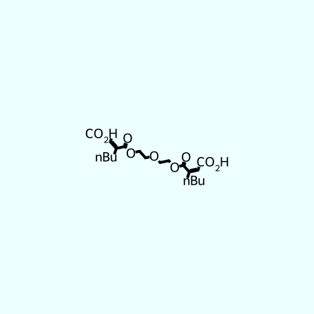 CCCC/C(=C/C(=O)O)C(=O)OCCOCCOC(=O)/C(=C\C(=O)O)CCCC